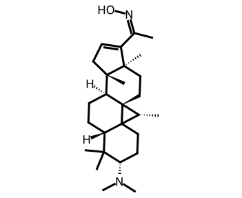 C/C(=N/O)C1=CC[C@@]2(C)[C@@H]3CC[C@H]4C(C)(C)[C@@H](N(C)C)CCC45[C@@H](C)[C@@]35CC[C@]12C